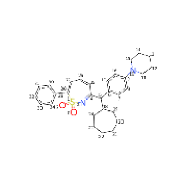 O=S1(=O)N=C(C(c2ccc(N3CCCCC3)cc2)C2CCCCCC2)C=CC=C1c1ccccc1